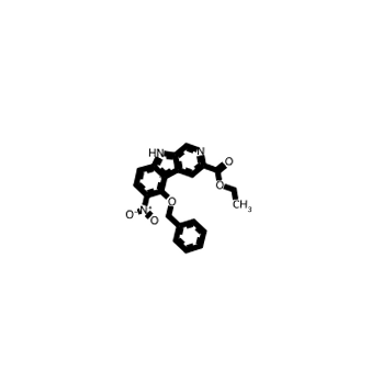 CCOC(=O)c1cc2c(cn1)[nH]c1ccc([N+](=O)[O-])c(OCc3ccccc3)c12